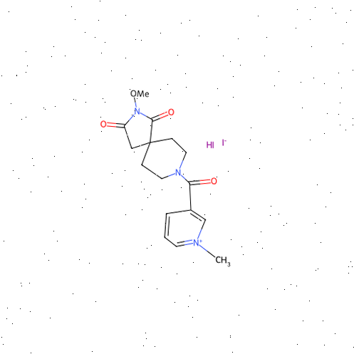 CON1C(=O)CC2(CCN(C(=O)c3ccc[n+](C)c3)CC2)C1=O.I.[I-]